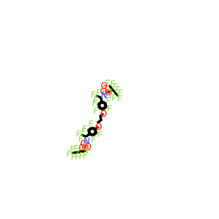 O=S(=O)(O/N=C(/c1c(F)c(F)c(OCCCOc2c(F)c(F)c(/C(=N/OS(=O)(=O)C(F)(F)C(F)(F)C(F)(F)C(F)(F)F)C(F)(F)F)c(F)c2F)c(F)c1F)C(F)(F)F)C(F)(F)C(F)(F)C(F)(F)C(F)(F)F